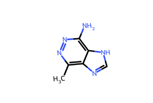 Cc1nnc(N)c2[nH]cnc12